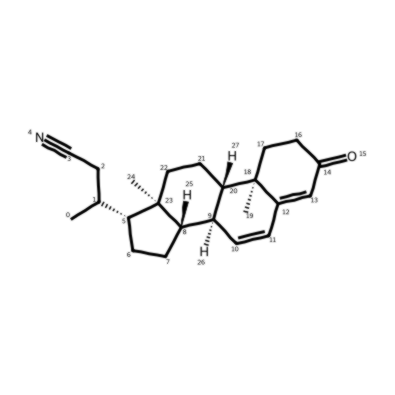 CC(CC#N)[C@H]1CC[C@H]2[C@@H]3C=CC4=CC(=O)CC[C@]4(C)[C@H]3CC[C@]12C